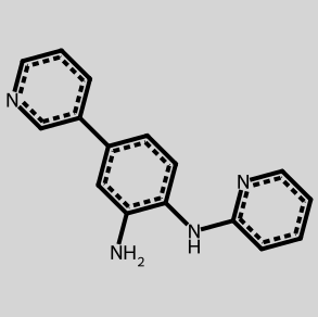 Nc1cc(-c2cccnc2)ccc1Nc1ccccn1